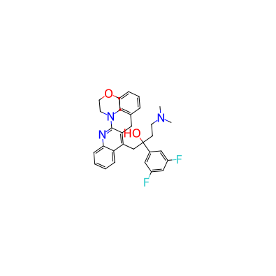 CN(C)CCC(O)(Cc1c(Cc2ccccc2)c(N2CCOCC2)nc2ccccc12)c1cc(F)cc(F)c1